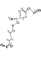 CCCCCOc1ccc(C(=O)OCCCCCC(=O)OC)cc1